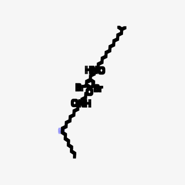 CCCCCCCC/C=C\CCCCCCCC(=O)NCCCOc1c(Br)cc(CCNC(=O)CCCCCCCCCCCCC(C)C)cc1Br